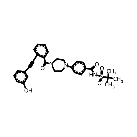 CC(C)(C)S(=O)(=O)NC(=O)c1ccc(N2CCN(C(=O)c3ccccc3C#Cc3cccc(O)c3)CC2)cc1